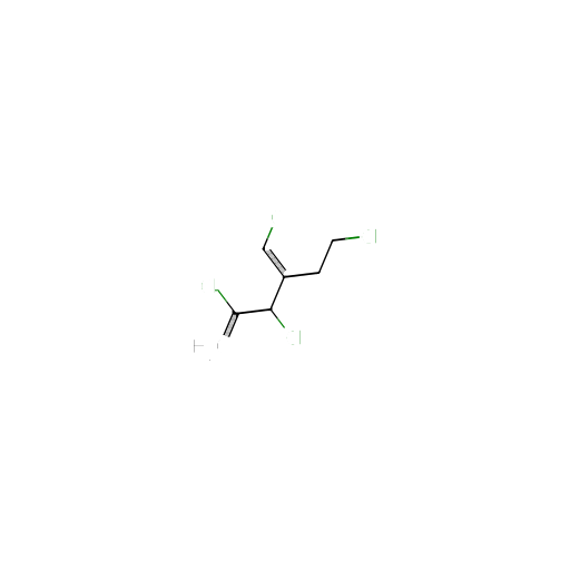 C=C(Cl)C(Cl)C(=CCl)CCCl